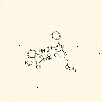 COCCOc1nn(-c2ccccc2)c(NC(=O)N[C@@H]2c3ccccc3C(C)(C)C[C@H]2O)c1C